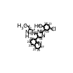 CCC(N)CNc1nc(-c2cc(Cl)ccc2O)ncc1-c1cccc2cccnc12